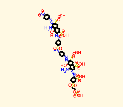 Nc1c(/N=N/c2ccc([N+](=O)[O-])cc2)c(SOOO)cc2cc(S(=O)(=O)O)c(/N=N/c3ccc(S(=O)(=O)Nc4ccc(/N=N/c5c(SOOO)cc6c(S(=O)(=O)O)cc(/N=N/c7ccc(S(=O)(=O)CCOS(=O)(=O)O)cc7S(=O)(=O)O)c(N)c6c5O)cc4)cc3)c(O)c12